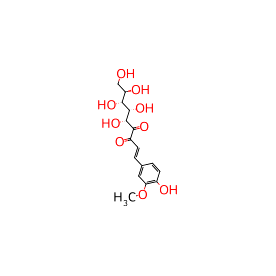 COc1cc(C=CC(=O)C(=O)[C@H](O)[C@@H](O)[C@H](O)[C@H](O)CO)ccc1O